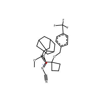 COC(=O)C12CC3CC(C1)C(N/C(=N/C#N)C1(OCc4ccc(C(F)(F)F)cc4)CCC1)C(C3)C2